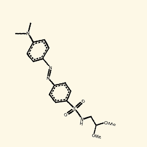 COC(CNS(=O)(=O)c1ccc(N=Nc2ccc(N(C)C)cc2)cc1)OC